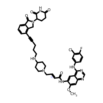 COc1cc2ncnc(Nc3ccc(F)c(Cl)c3)c2cc1NC(=O)/C=C/CN1CCC(NCCCC#Cc2cccc3c2CN(C2CCC(=O)NC2=O)C3=O)CC1